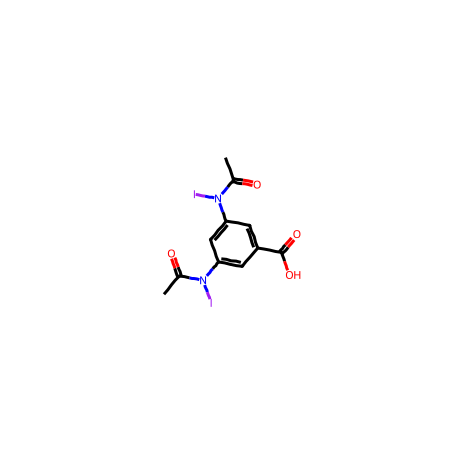 CC(=O)N(I)c1cc(C(=O)O)cc(N(I)C(C)=O)c1